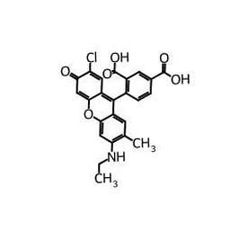 CCNc1cc2oc3cc(=O)c(Cl)cc-3c(-c3ccc(C(=O)O)cc3C(=O)O)c2cc1C